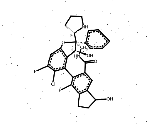 CNC(=O)c1cc2c(c(F)c1-c1c(Cl)c(F)cc3c1[C@H](O)[C@](c1ccccc1)([C@@H]1CCCN1)O3)CCC2O